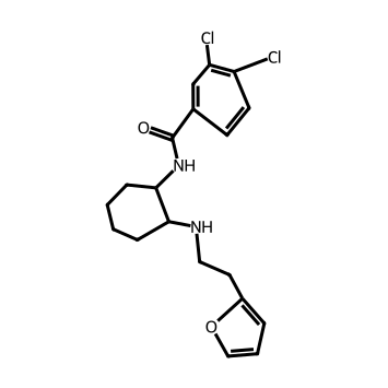 O=C(NC1CCCCC1NCCc1ccco1)c1ccc(Cl)c(Cl)c1